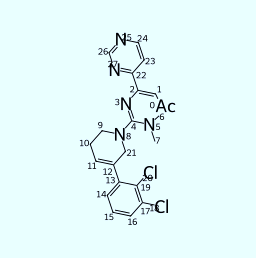 CC(=O)/C=C(\N=C(/N(C)C)N1CCC=C(c2cccc(Cl)c2Cl)C1)c1ccncn1